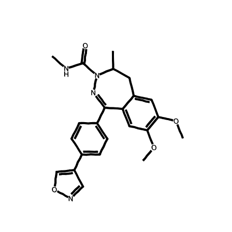 CNC(=O)N1N=C(c2ccc(-c3cnoc3)cc2)c2cc(OC)c(OC)cc2CC1C